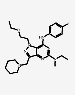 CCOCCn1nc(CN2CCCCC2)c2nc(N(C)CC)nc(Nc3ccc(F)cc3)c21